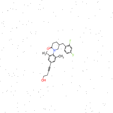 Cc1cc(C#CCCO)cc(C)c1N1CC(Cc2ccc(F)cc2F)CCC1=O